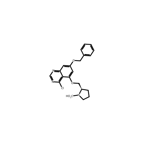 O=C(O)N1CCC[C@@H]1COc1cc(OCc2ccccc2)cc2ncnc(Cl)c12